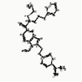 CCCCCCCCCCn1c(CCc2ccc(C(=N)N)cc2)nc2cc(C(=O)N(CCN)CCCc3ccccc3)ccc21